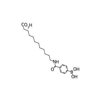 O=C(O)CCCCCCCCCCCNC(=O)c1ccc(B(O)O)cc1